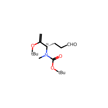 C=C(OC(C)(C)C)[C@H](CCC=O)N(C)C(=O)OC(C)(C)C